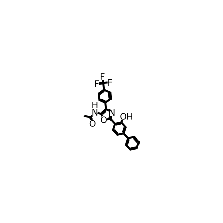 CC(=O)Nc1oc(-c2ccc(-c3ccccc3)cc2O)nc1-c1ccc(C(F)(F)F)cc1